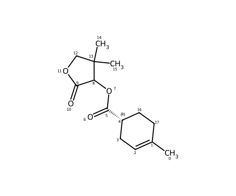 CC1=CC[C@H](C(=O)OC2C(=O)OCC2(C)C)CC1